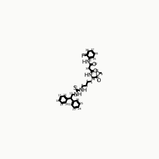 COC(=O)[C@H](CCCCNC(=S)NCC(c1ccccc1)c1ccccc1)NC(=O)CC(=O)Nc1ccccc1F